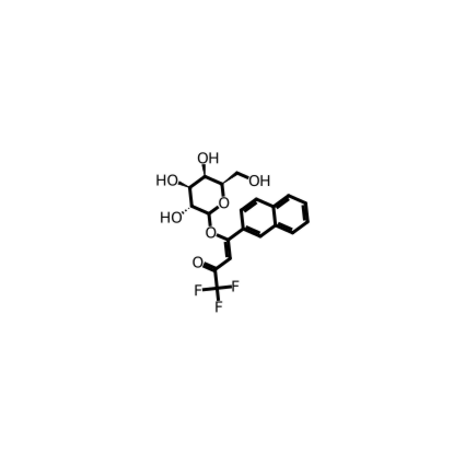 O=C(/C=C(\OC1O[C@H](CO)[C@H](O)[C@H](O)[C@H]1O)c1ccc2ccccc2c1)C(F)(F)F